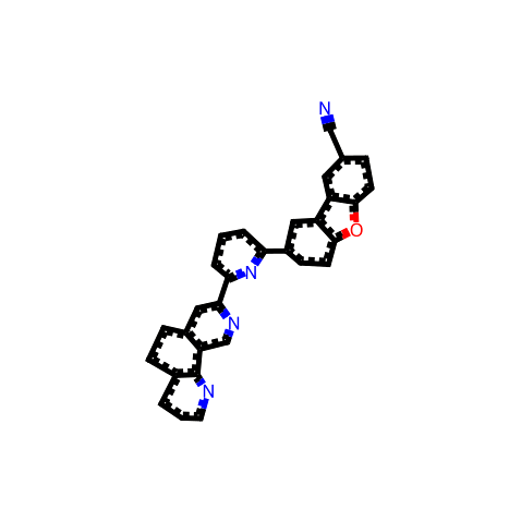 N#Cc1ccc2oc3ccc(-c4cccc(-c5cc6ccc7cccnc7c6cn5)n4)cc3c2c1